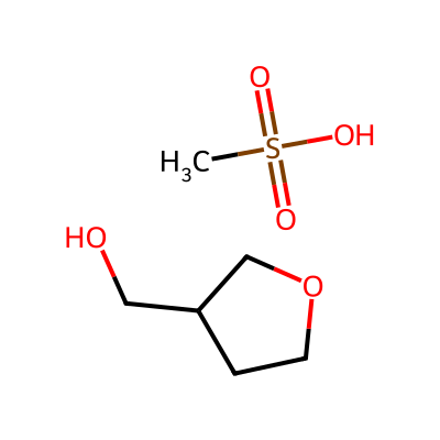 CS(=O)(=O)O.OCC1CCOC1